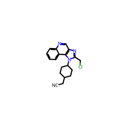 N#CCC1CCC(n2c(CCl)nc3cnc4ccccc4c32)CC1